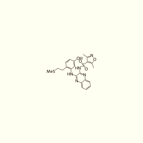 CSCCc1ccc(O)cc1Nc1nc2ccccc2nc1NS(=O)(=O)c1c(C)noc1C